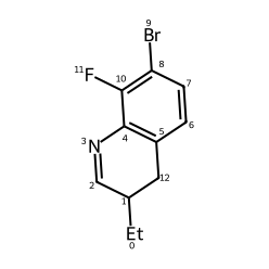 CCC1C=Nc2c(ccc(Br)c2F)C1